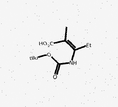 CCC(NC(=O)OC(C)(C)C)=C(C)C(=O)O